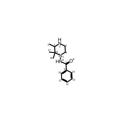 CC1NCCN(NC(=O)c2ccccc2)C1(C)C